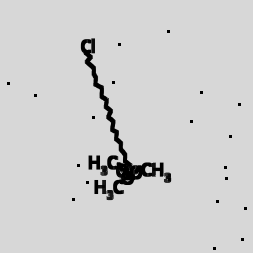 CCO[Si](CCCCCCCCCCCCCCCCCCCCCCCl)(OCC)OCC